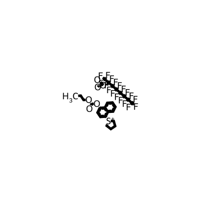 CCCOC(=O)Oc1ccc([S+]2CCCC2)c2ccccc12.O=S(=O)([O-])C(F)(F)C(F)(F)C(F)(F)C(F)(F)C(F)(F)C(F)(F)C(F)(F)C(F)(F)F